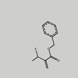 C=C(C(=O)OCc1ccccc1)C(C)F